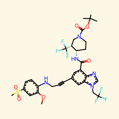 COc1cc(S(C)(=O)=O)ccc1NCC#Cc1cc(C(=O)N[C@H]2CCN(C(=O)OC(C)(C)C)C[C@H]2C(F)(F)F)c2ncn(CC(F)(F)F)c2c1